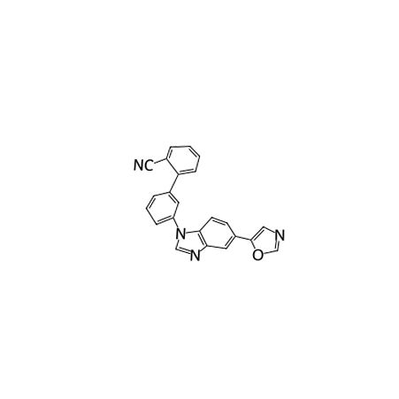 N#Cc1ccccc1-c1cccc(-n2cnc3cc(-c4cnco4)ccc32)c1